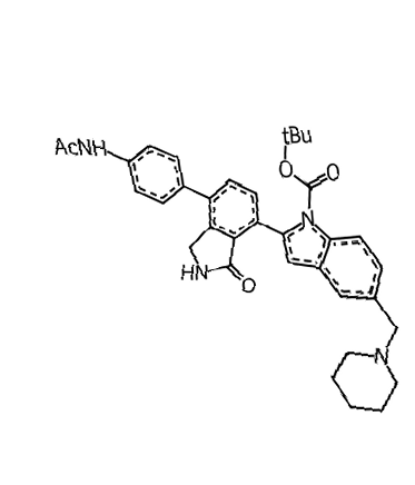 CC(=O)Nc1ccc(-c2ccc(-c3cc4cc(CN5CCCCC5)ccc4n3C(=O)OC(C)(C)C)c3c2CNC3=O)cc1